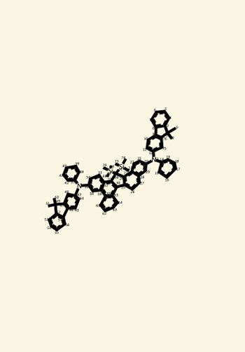 CC1(C)c2ccccc2-c2ccc(N(c3ccccc3)c3ccc4c5c(ccc4c3)-c3c(c4ccc(N(c6ccccc6)c6ccc7c(c6)C(C)(C)c6ccccc6-7)cc4c4ccccc34)C5([Si](C)(C)C)[Si](C)(C)C)cc21